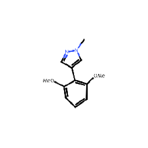 COc1c[c]cc(OC)c1-c1cnn(C)c1